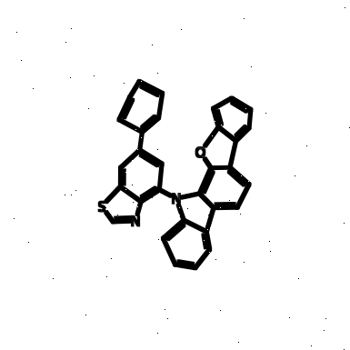 c1ccc(-c2cc(-n3c4ccccc4c4ccc5c6ccccc6oc5c43)c3ncsc3c2)cc1